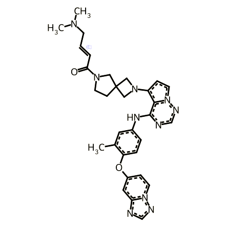 Cc1cc(Nc2ncnn3ccc(N4CC5(CCN(C(=O)/C=C/CN(C)C)C5)C4)c23)ccc1Oc1ccn2ncnc2c1